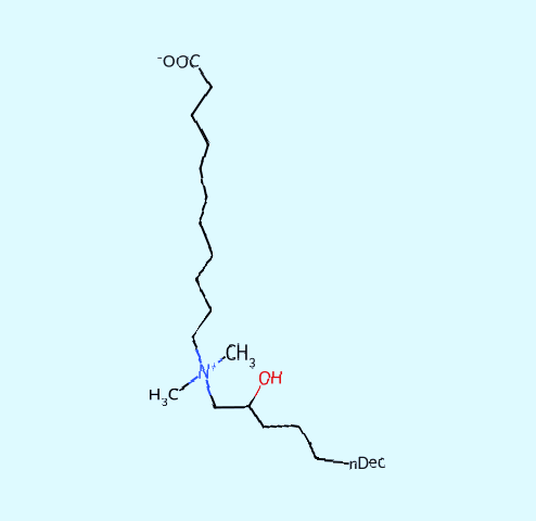 CCCCCCCCCCCCCC(O)C[N+](C)(C)CCCCCCCCCCC(=O)[O-]